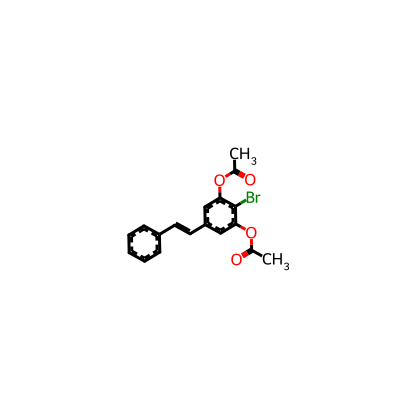 CC(=O)Oc1cc(C=Cc2ccccc2)cc(OC(C)=O)c1Br